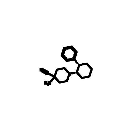 CC1(C#N)CCN([C@H]2CCCC[C@H]2c2ccccc2)CC1